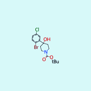 CC(C)(C)OC(=O)N1CCC(O)(c2cc(Cl)ccc2Br)CC1